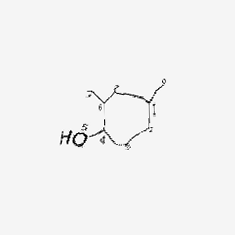 CC1CCC(O)C(C)C1